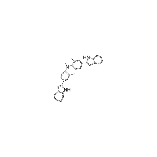 Cc1cc(-c2cc3ccccc3[nH]2)ccc1N(C)c1ccc(-c2cc3ccccc3[nH]2)cc1C